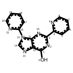 Oc1nc(-c2ccccn2)nc2c1ncn2-c1ccccn1